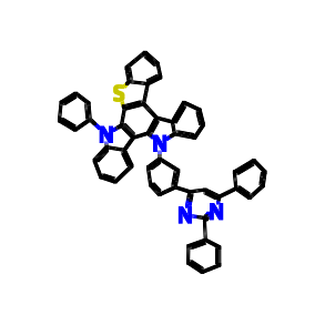 c1ccc(-c2cc(-c3cccc(-n4c5ccccc5c5c6c7ccccc7sc6c6c(c7ccccc7n6-c6ccccc6)c54)c3)nc(-c3ccccc3)n2)cc1